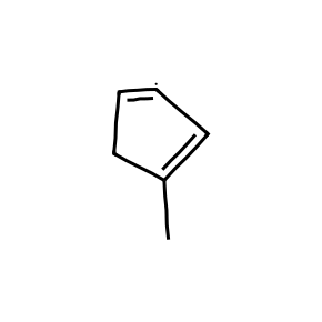 CC1=C[C]=CC1